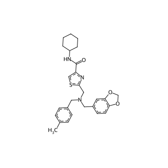 Cc1ccc(CN(Cc2ccc3c(c2)OCO3)Cc2nc(C(=O)NC3CCCCC3)cs2)cc1